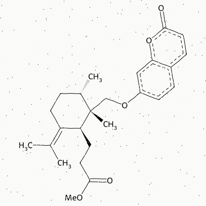 COC(=O)CC[C@H]1C(=C(C)C)CC[C@H](C)[C@]1(C)COc1ccc2ccc(=O)oc2c1